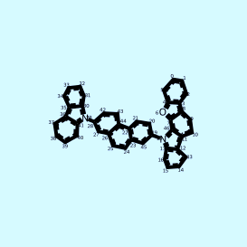 c1ccc2c(c1)oc1c2ccc2c3ccccc3n(-c3ccc4c(ccc5cc(-n6c7ccccc7c7ccccc76)ccc54)c3)c21